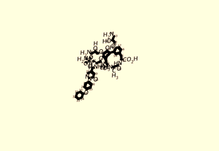 C[C@@H]1NC(=O)[C@@H](N(C)C(=O)[C@H](CNS(N)(=O)=O)NC(=O)c2cnn(-c3ccc(OC4CCCCC4)cc3)c(=O)c2)c2cc(OC[C@H](O)CN)c(O)c(c2)-c2cc(ccc2OC[C@H](O)CN)C[C@@H](C(=O)O)NC1=O